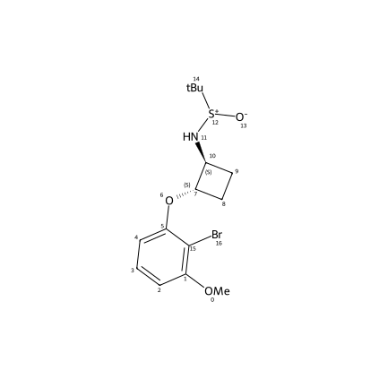 COc1cccc(O[C@H]2CC[C@@H]2N[S+]([O-])C(C)(C)C)c1Br